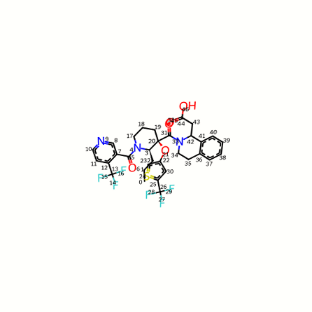 CCC[C@H]1N(C(=O)c2cnccc2C(F)(F)F)CCC[C@]1(Oc1csc(C(F)(F)F)c1)C(=O)N1CCc2ccccc2C1CC(=O)O